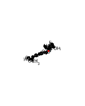 C#Cc1c(F)ccc2cc(O)cc(-c3ncc4c(N5CC6CCC(C5)N6)nc(OC5CCN(CC(=O)N6CCC7(CC6)CC(N6CCC(c8ccc9c(C%10CCC(=O)NC%10=O)nn(C)c9c8)CC6)C7)CC5)nc4c3F)c12